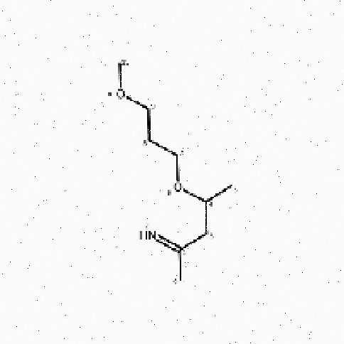 [CH2]C(=N)CC(C)OCCCOC